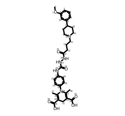 COc1cccc(C2CCN(CCCC(=O)NNC(=O)Nc3ccc(N4C(C)=C(C(=O)O)CC(C(=O)O)=C4C)cc3)CC2)c1